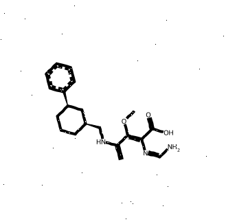 C=C(NC[C@H]1CCC[C@@H](c2ccccc2)C1)/C(OC)=C(\N=C/N)C(=O)O